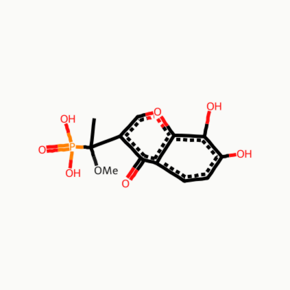 COC(C)(c1coc2c(O)c(O)ccc2c1=O)P(=O)(O)O